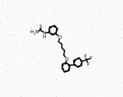 NC(=S)Nc1cccc(OCCCCCOc2ccccc2-c2ccc(C(F)(F)F)cc2)c1